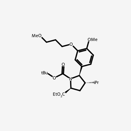 CCOC(=O)[C@@H]1C[C@@H](C(C)C)[C@H](c2ccc(OC)c(OCCCOC)c2)N1C(=O)OC(C)(C)C